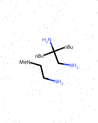 CCCCC(N)(CN)CCCC.CNCCN